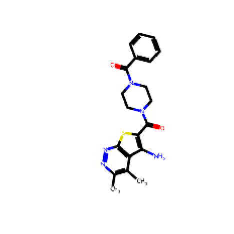 Cc1nnc2sc(C(=O)N3CCN(C(=O)c4ccccc4)CC3)c(N)c2c1C